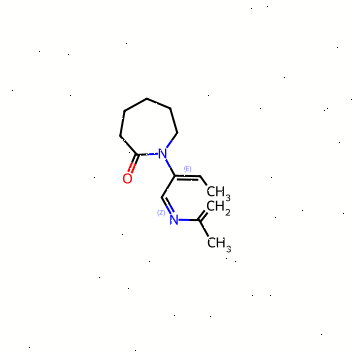 C=C(C)/N=C\C(=C/C)N1CCCCCC1=O